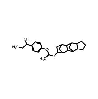 CCC(C)c1ccc(OC(C)OC2CC3CC2C2C4CC(C5CCCC54)C32)cc1